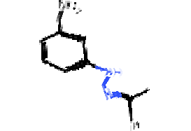 C/C(=N\Nc1cccc([N+](=O)[O-])c1)C(C)C